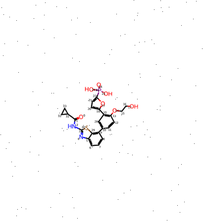 O=C(Nc1nc2cccc(-c3ccc(OCCO)c(-c4ccc(P(=O)(O)O)o4)c3)c2s1)C1CC1